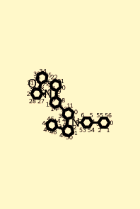 c1ccc(-c2ccc(-n3c4ccc(-c5ccc6c(c5)c5ccccc5n6-c5cccc6oc7ccccc7c56)cc4c4c(-c5ccccc5)cccc43)cc2)cc1